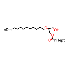 CCCCCCCCCCCCCCCCCCCCOC(CO)COC(=O)CCCCCCC